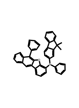 CC1(C)c2ccccc2-c2ccc(N(c3ccccc3)c3cccc4c3oc3c(-c5ccccc5)c5ccccc5cc34)cc21